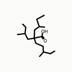 CCC(C)CCC(CC(C)CC)(CC(C)CC)C(=O)O